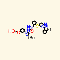 CCc1ccccc1-c1nnc2ccc(Sc3ccccc3CNC(=O)Nc3cc(C(C)(C)C)nn3-c3cccc(OCCO)c3)cn12